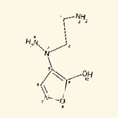 NCCN(N)c1cnoc1O